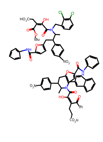 CC(C(Cc1ccc(C(=O)Nc2ccccc2)o1)c1ccc([N+](=O)[O-])cc1)N(Cc1cccc(Cl)c1Cl)C(=O)C(O)=C(CC(=O)O)C(=O)OC(C)(C)C.CC(C)C(=O)C(CCC(=O)O)=C(O)C(=O)N(Cc1ccc2ccccc2c1)C(C)C(Cc1ccc(C(=O)Nc2ccccc2)o1)c1ccc([N+](=O)[O-])cc1